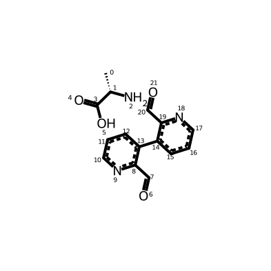 C[C@H](N)C(=O)O.O=Cc1ncccc1-c1cccnc1C=O